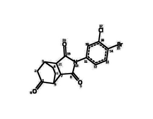 O=C1CC2CCC1C1C(=O)N(c3ccc(Br)c(Cl)c3)C(=O)C21